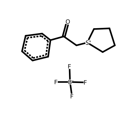 F[B-](F)(F)F.O=C(C[S+]1CCCC1)c1ccccc1